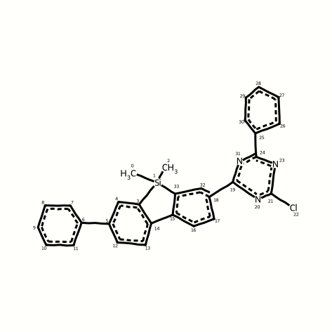 C[Si]1(C)c2cc(-c3ccccc3)ccc2-c2ccc(-c3nc(Cl)nc(-c4ccccc4)n3)cc21